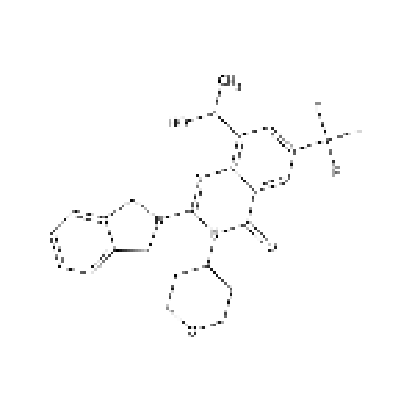 CC(O)c1cc(C(F)(F)F)cc2c(=O)n(C3CCOCC3)c(N3Cc4ccccc4C3)nc12